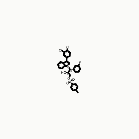 Cc1ccc(S(=O)(=O)OC[C@@H](O)[C@H](c2cccc(F)c2)n2cc(-c3ccc(Cl)c(Cl)c3)c3ccccc32)cc1